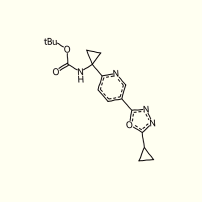 CC(C)(C)OC(=O)NC1(c2ccc(-c3nnc(C4CC4)o3)cn2)CC1